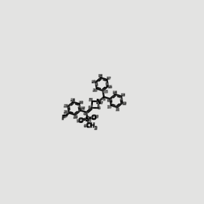 CS(=O)(=O)C(=C1CN(C(c2ccccc2)c2ccccc2)C1)c1cccc(F)c1